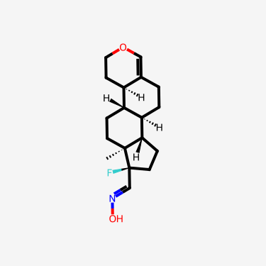 C[C@]12CC[C@H]3[C@@H](CCC4=COCC[C@@H]43)[C@@H]1CC[C@]2(F)/C=N/O